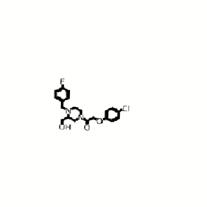 O=C(COc1ccc(Cl)cc1)N1CCN(Cc2ccc(F)cc2)C(CO)C1